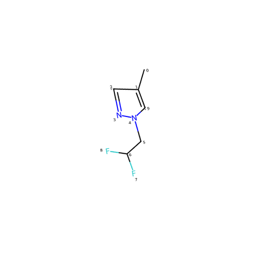 Cc1[c]nn(CC(F)F)[c]1